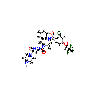 C[C@@H]1CN(C(=O)c2ccc(OCC(F)(F)F)cc2Cl)c2ccccc2CN1C(=O)NCC(=O)N1CCN(C)CC1